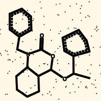 CC(OC1OC(=O)N(Cc2ccccc2)C2CCCCC12)c1ccccc1